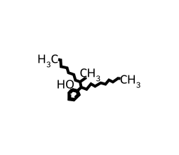 CCCCCCCCCC(c1ccccc1O)C(CC)CCCCCCC